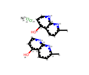 Cc1ccc2c(O)ccnc2n1.Cc1ccc2c(O)ccnc2n1.[Cl-].[Cl-].[Ni+2]